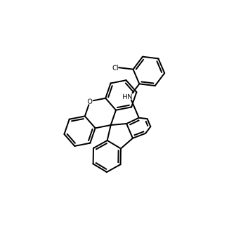 Clc1ccccc1Nc1cccc2c1C1(c3ccccc3Oc3ccccc31)c1ccccc1-2